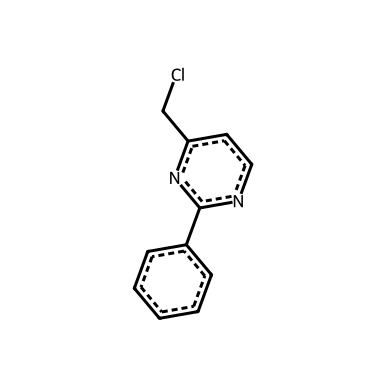 ClCc1ccnc(-c2ccccc2)n1